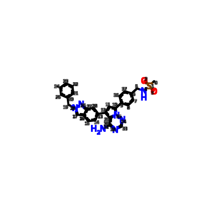 CS(=O)(=O)NCc1ccc(-c2cc(-c3ccc4cn(Cc5ccccc5)nc4c3)c3c(N)ncnn23)cc1